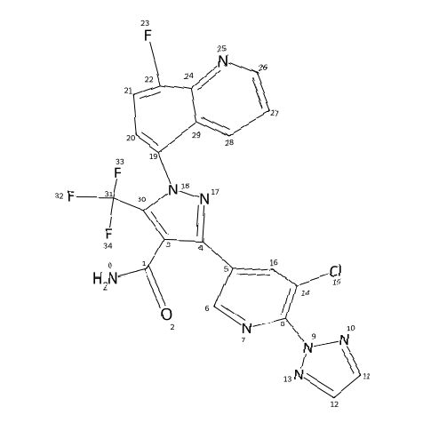 NC(=O)c1c(-c2cnc(-n3nccn3)c(Cl)c2)nn(-c2ccc(F)c3ncccc23)c1C(F)(F)F